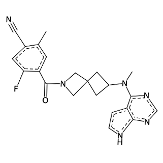 Cc1cc(C(=O)N2CC3(CC(N(C)c4ncnc5[nH]ccc45)C3)C2)c(F)cc1C#N